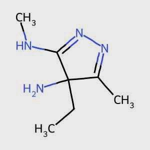 CCC1(N)C(C)=NN=C1NC